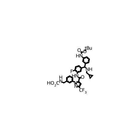 CC(C)(C)OC(=O)Nc1cccc(C(NCC2CC2)c2ccc(F)c(NC(=O)c3cc(C(F)(F)F)nn3-c3cccc(CNC(=O)O)c3)c2)c1